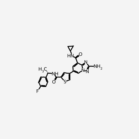 C[C@H](NC(=O)c1cc(-c2cc(C(=O)NC3CC3)c3nc(N)nn3c2)cs1)c1ccc(F)cc1